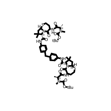 C[C@@H](C(=O)N[C@H]1CCS[C@H]2CC(C)(C)[C@@H](C(=O)Nc3ccc(Cc4ccc(NC(=O)[C@H]5N6C(=O)[C@@H](NC(=O)[C@H](C)N(C)C(=O)OC(C)(C)C)CCS[C@H]6CC5(C)C)cc4)cc3)N2C1=O)N(C)C(=O)OC(C)(C)C